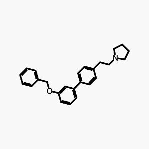 c1ccc(COc2cccc(-c3ccc(CCN4CCCC4)cc3)c2)cc1